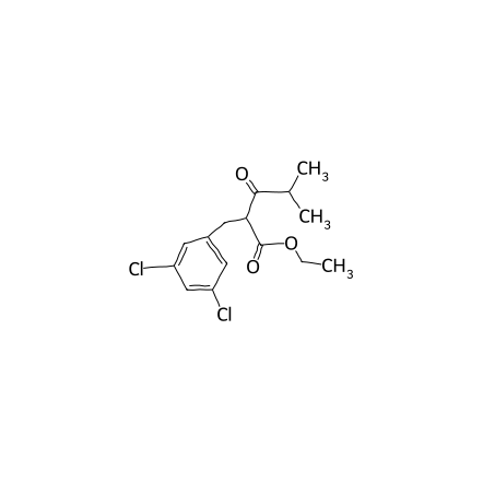 CCOC(=O)C(Cc1cc(Cl)cc(Cl)c1)C(=O)C(C)C